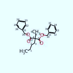 CCCCC(CC)(C(=O)OCc1ccccc1)C(=O)OCc1ccccc1